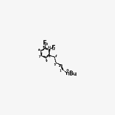 CCCCC=CCCc1cccc(F)c1F